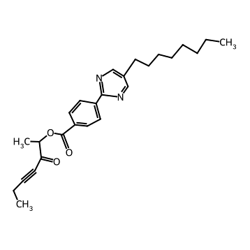 CCC#CC(=O)C(C)OC(=O)c1ccc(-c2ncc(CCCCCCCC)cn2)cc1